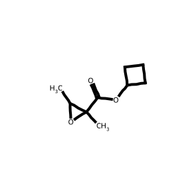 CC1OC1(C)C(=O)OC1CCC1